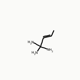 CC=CC(N)(N)N